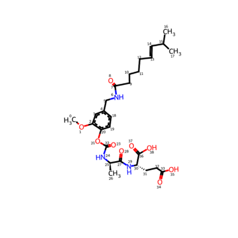 COc1cc(CNC(=O)CCCC/C=C/C(C)C)ccc1OC(=O)N[C@H](C)C(=O)N[C@@H](CCC(=O)O)C(=O)O